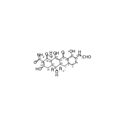 C[C@H]1c2ccc(NC=O)c(O)c2C(=O)C2=C(O)[C@]3(O)C(=O)C(C(N)=O)=C(O)C[C@@H]3[C@@H](O)[C@@H]21